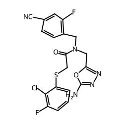 N#Cc1ccc(CN(Cc2nnc(N)o2)C(=O)CSc2cccc(F)c2Cl)c(F)c1